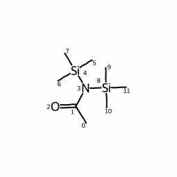 CC(=O)N([Si](C)(C)C)[Si](C)(C)C